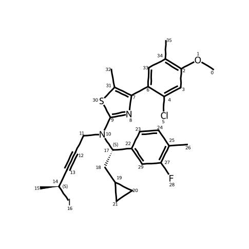 COc1cc(Cl)c(-c2nc(N(CC#C[C@H](C)I)[C@@H](CC3CC3)c3ccc(C)c(F)c3)sc2C)cc1C